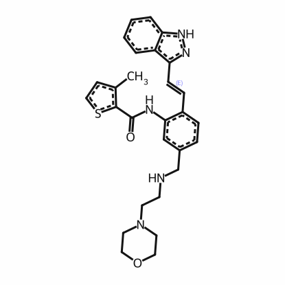 Cc1ccsc1C(=O)Nc1cc(CNCCN2CCOCC2)ccc1/C=C/c1n[nH]c2ccccc12